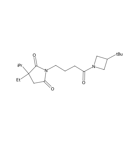 CCC1(C(C)C)CC(=O)N(CCCC(=O)N2CC(C(C)(C)C)C2)C1=O